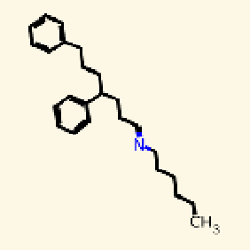 CCCCCCN=CCCC(CCCc1ccccc1)c1ccccc1